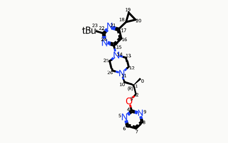 C[C@@H](COc1ncccn1)CN1CCN(c2cc(C3CC3)nc(C(C)(C)C)n2)CC1